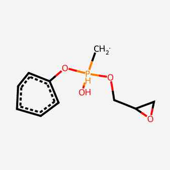 [CH2][PH](O)(OCC1CO1)Oc1ccccc1